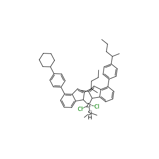 CCCC(C)C1=Cc2c(-c3ccc(C4CCCCC4)cc3)cccc2[CH]1[Zr]([Cl])([Cl])([CH]1C(C)=Cc2c(-c3ccc(C(C)CCC)cc3)cccc21)[SiH](C)C